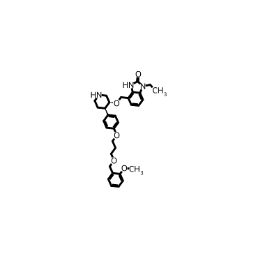 CCn1c(=O)[nH]c2c(CO[C@H]3CNCC[C@@H]3c3ccc(OCCCOCc4ccccc4OC)cc3)cccc21